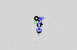 CC1(C)CN(c2ncc(F)cn2)CCN1c1n[nH]c2cccc(Cl)c12